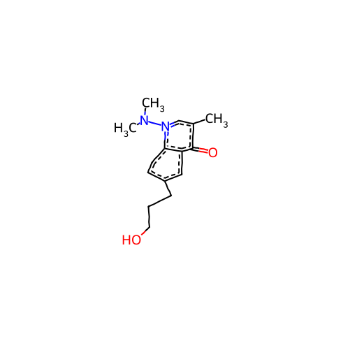 Cc1cn(N(C)C)c2ccc(CCCO)cc2c1=O